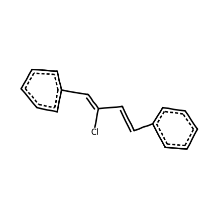 ClC(C=Cc1ccccc1)=Cc1ccccc1